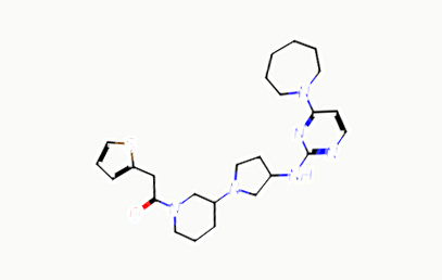 O=C(Cc1cccs1)N1CCCC(N2CCC(Nc3nccc(N4CCCCCC4)n3)C2)C1